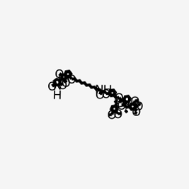 CC[C@H](C(=O)N1CCCC[C@H]1C(=O)O[C@H](CCc1ccc(OC)c(OC)c1)c1cccc(OCC(=O)NCCCCCCCCCCOc2cccc3c2C(=O)N(C2CCC(=O)NC2=O)C3=O)c1)c1cc(OC)c(OC)c(OC)c1